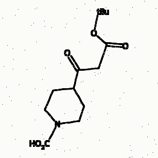 CC(C)(C)OC(=O)CC(=O)C1CCN(C(=O)O)CC1